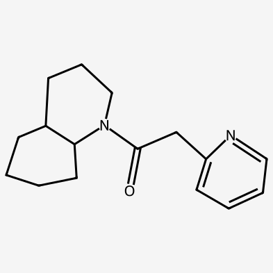 O=C(Cc1ccccn1)N1CCCC2CCCCC21